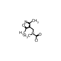 Cc1noc(C)c1CN(C)C(=O)Cl